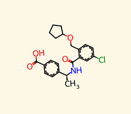 C[C@H](NC(=O)c1cc(Cl)ccc1COC1CCCC1)c1ccc(C(=O)O)cc1